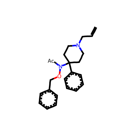 C=CCN1CCC(c2ccccc2)(N(OCc2ccccc2)C(C)=O)CC1